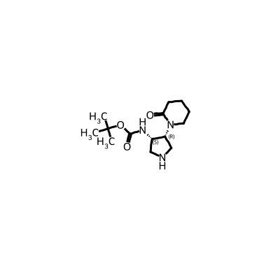 CC(C)(C)OC(=O)N[C@H]1CNC[C@H]1N1CCCCC1=O